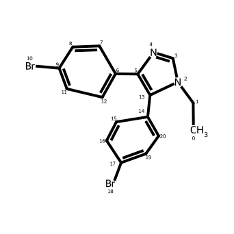 CCn1cnc(-c2ccc(Br)cc2)c1-c1ccc(Br)cc1